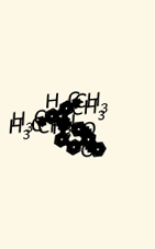 CC(C)(C)c1ccc2c3ccc(C(C)(C)C)cc3c3nc(-c4cccc(-c5cccc(-c6c7oc8ccccc8c7cc7oc8ccccc8c67)c5)c4)cnc3c2c1